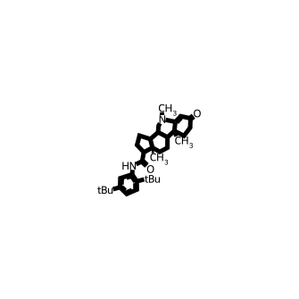 CN1CC2C(CC[C@]3(C)C(C(=O)Nc4cc(C(C)(C)C)ccc4C(C)(C)C)CCC23)C2(C)CCC(=O)C=C12